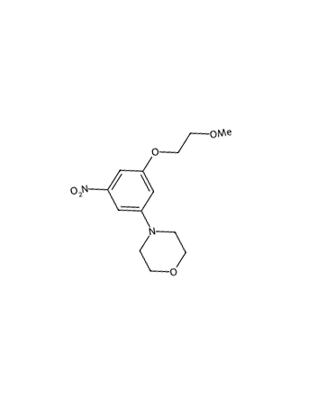 COCCOc1cc(N2CCOCC2)cc([N+](=O)[O-])c1